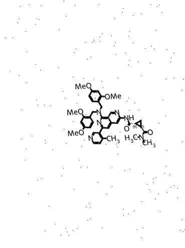 COc1ccc(CN(Cc2ccc(OC)cc2OC)c2nc(-c3cnccc3C)cc3cc(NC(=O)[C@@H]4C[C@H]4C(=O)N(C)C)ncc23)c(OC)c1